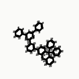 c1ccc(-c2cc(-c3ccccc3)nc(-c3cccc(-c4ccc5c(c4)Sc4ccccc4C5(c4ccccc4)c4ccccc4)c3)n2)cc1